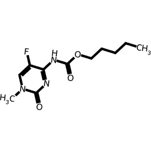 CCCCCOC(=O)Nc1nc(=O)n(C)cc1F